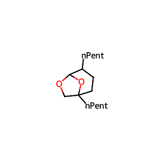 CCCCCC1CCC2(CCCCC)COC1O2